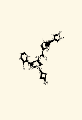 O=C(Nc1cn(C2CC(O)C2)nc1-c1ncccc1F)c1csc(-c2cn[nH]c2)n1